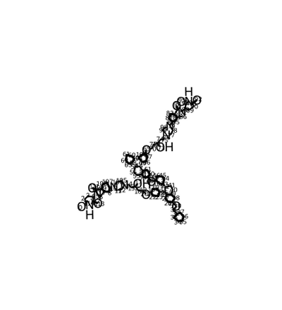 O=C1CCC(N2Cc3cc(N4CCN(CCC(O)CCOc5ccc([C@@H]6c7ccc(OCc8ccccc8)cc7CC[C@@H]6c6cccc(Oc7ccc8c(c7)CC[C@H](c7ccccc7)[C@@H]8c7ccc(OCCC(O)CCN8CCN(c9ccc%10c(c9)CN(C9CCC(=O)NC9=O)C%10=O)CC8)cc7)c6)cc5)CC4)ccc3C2=O)C(=O)N1